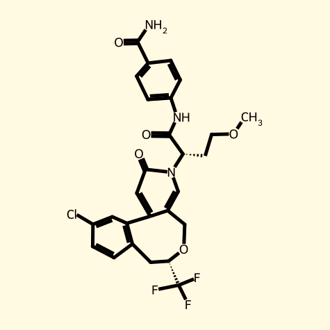 COCC[C@@H](C(=O)Nc1ccc(C(N)=O)cc1)n1cc2c(cc1=O)-c1cc(Cl)ccc1C[C@@H](C(F)(F)F)OC2